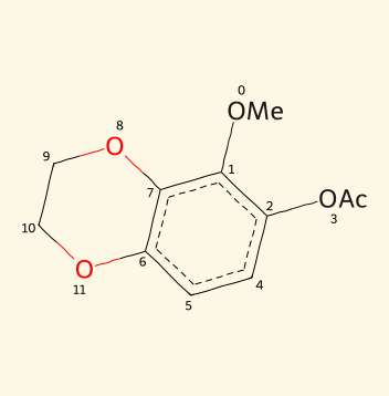 COc1c(OC(C)=O)ccc2c1OCCO2